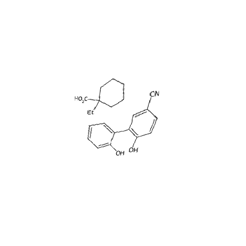 CCC1(C(=O)O)CCCCC1.N#Cc1ccc(O)c(-c2ccccc2O)c1